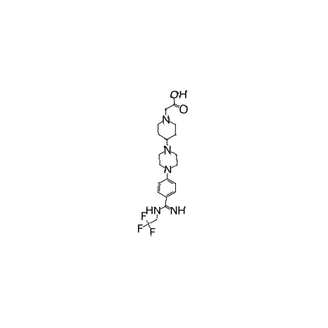 N=C(NCC(F)(F)F)c1ccc(N2CCN(C3CCN(CC(=O)O)CC3)CC2)cc1